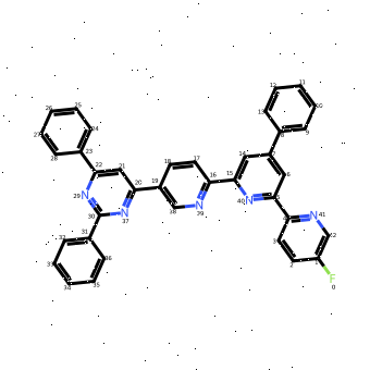 Fc1ccc(-c2cc(-c3ccccc3)cc(-c3ccc(-c4cc(-c5ccccc5)nc(-c5ccccc5)n4)cn3)n2)nc1